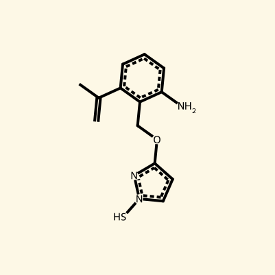 C=C(C)c1cccc(N)c1COc1ccn(S)n1